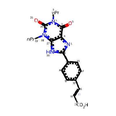 CCCn1c(=O)c2nc(-c3ccc(/C=C/C(=O)O)cc3)[nH]c2n(CCC)c1=O